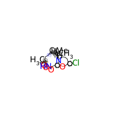 CO[C@H]1/C=C/C[C@H](C)[C@H](C2CC2)S(=O)(=O)NC(=O)c2ccc3c(c2)N(CCCCc2cc(Cl)ccc2CO3)C[C@H]2[C@H]1C[C@H]2C